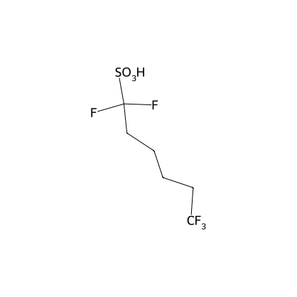 O=S(=O)(O)C(F)(F)CCCCC(F)(F)F